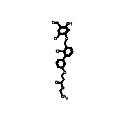 CCOC(=O)CCOc1cccc(-c2cccc(COc3cc(O)c(C=O)cc3Cl)c2Cl)c1